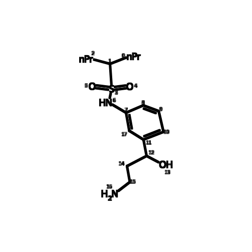 CCCC(CCC)S(=O)(=O)Nc1cccc(C(O)CCN)c1